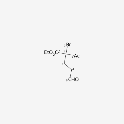 CCOC(=O)C(Br)(CCC=O)C(C)=O